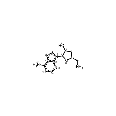 NC[C@@H]1CC(O)[C@H](n2cnc3c(N)ncnc32)O1